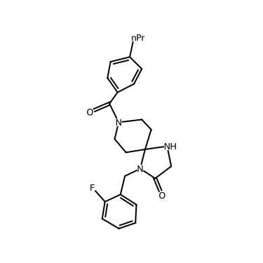 CCCc1ccc(C(=O)N2CCC3(CC2)NCC(=O)N3Cc2ccccc2F)cc1